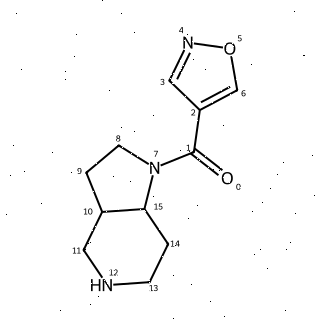 O=C(c1cnoc1)N1CCC2CNCCC21